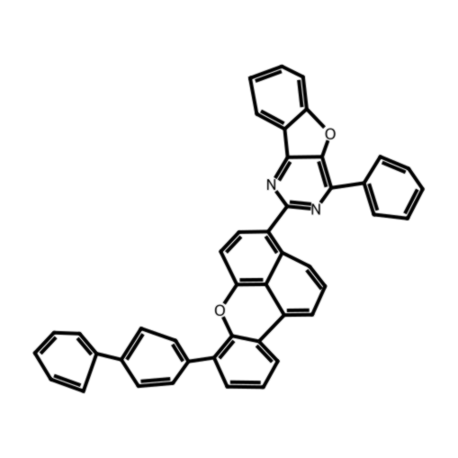 c1ccc(-c2ccc(-c3cccc4c3Oc3ccc(-c5nc(-c6ccccc6)c6oc7ccccc7c6n5)c5cccc-4c35)cc2)cc1